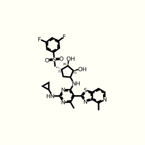 Cc1nc(NC2CC2)nc(NC2C[C@H](CS(=O)(=O)c3cc(F)cc(F)c3)[C@@H](O)[C@H]2O)c1-c1nc2c(C)nccc2s1